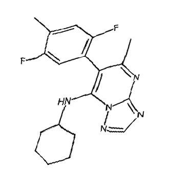 Cc1cc(F)c(-c2c(C)nc3ncnn3c2NC2CCCCC2)cc1F